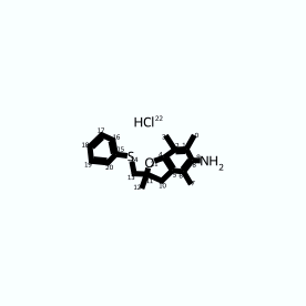 Cc1c(C)c2c(c(C)c1N)CC(C)(CSc1ccccc1)O2.Cl